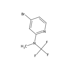 CN(c1cc(Br)ccn1)C(F)(F)F